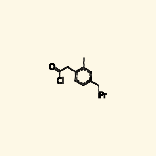 Cc1cc(CC(C)C)ccc1CC(=O)Cl